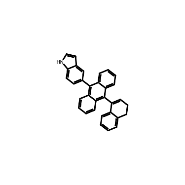 C1=C(c2c3ccccc3c(-c3ccc4[nH]ccc4c3)c3ccccc23)c2ccccc2CC1